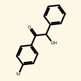 [2H]c1ccc(C(=O)C(O)c2ccccc2)cc1